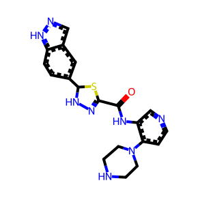 O=C(Nc1cnccc1N1CCNCC1)C1=NNC(c2ccc3[nH]ncc3c2)S1